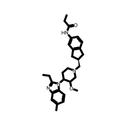 CCC(=O)Nc1ccc2c(c1)C[C@H](CN1CCC(n3c(CC)nc4cc(C)ccc43)C(OC)C1)C2